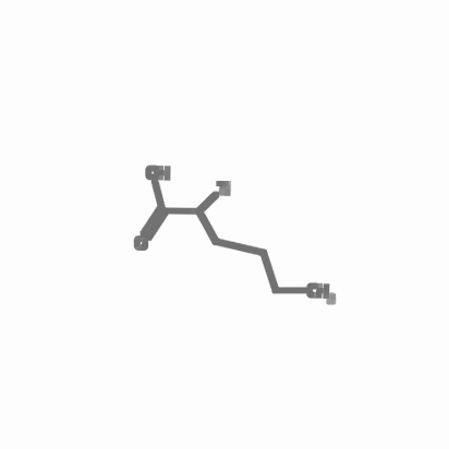 CCCC[CH]([Ti])C(=O)O